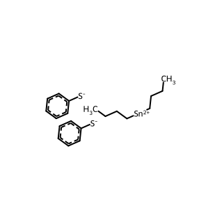 CCC[CH2][Sn+2][CH2]CCC.[S-]c1ccccc1.[S-]c1ccccc1